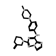 C=C1CCCN(c2nc(Nc3ccc(N4CCN(C)CC4)cc3)c3nccn3n2)C1